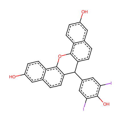 Oc1ccc2c3c(ccc2c1)C(c1cc(I)c(O)c(I)c1)c1ccc2cc(O)ccc2c1O3